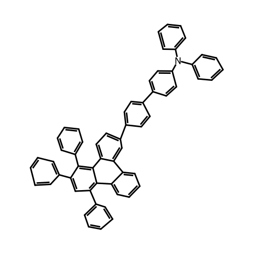 c1ccc(-c2cc(-c3ccccc3)c3c4ccccc4c4cc(-c5ccc(-c6ccc(N(c7ccccc7)c7ccccc7)cc6)cc5)ccc4c3c2-c2ccccc2)cc1